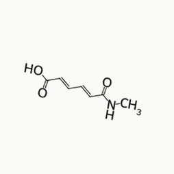 CNC(=O)C=CC=CC(=O)O